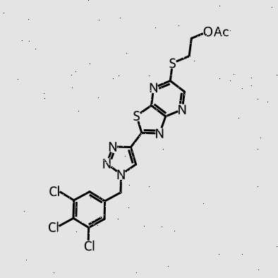 CC(=O)OCCSc1cnc2nc(-c3cn(Cc4cc(Cl)c(Cl)c(Cl)c4)nn3)sc2n1